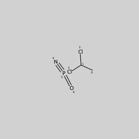 CC(Cl)Cl.N#P=O